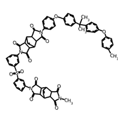 Cc1ccc(Oc2ccc(C(C)(C)c3ccc(Oc4ccc(N5C(=O)C6C7C=CC(C6C5=O)C5C(=O)N(c6cccc(S(=O)(=O)c8cccc(N9C(=O)C%10C%11C=CC(C%12C(=O)N(C)C(=O)C%11%12)C%10C9=O)c8)c6)C(=O)C75)cc4)cc3)cc2)cc1